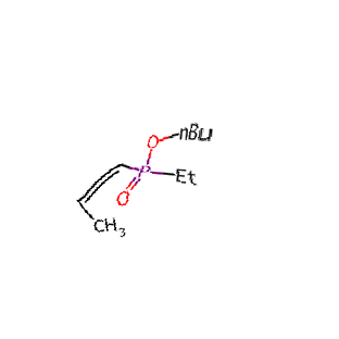 C/C=C\P(=O)(CC)OCCCC